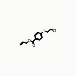 C=CCOC(=O)c1ccc(OCCCl)cc1